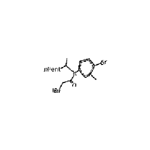 CCCCCC(C)N(C(=O)CC(C)(C)C)c1ccc(Br)c(C)c1